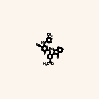 CC(=O)N1CCC(Nc2nc(Nc3cncc(C)c3)c(C#N)cc2F)C(N2C(=O)c3ccccc3C2=O)C1